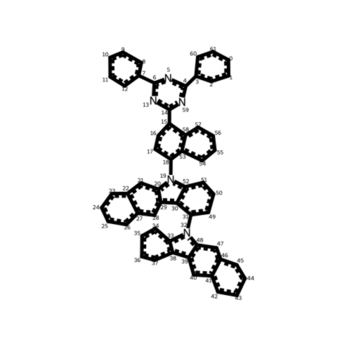 c1ccc(-c2nc(-c3ccccc3)nc(-c3ccc(-n4c5cc6ccccc6cc5c5c(-n6c7ccccc7c7cc8ccccc8cc76)cccc54)c4ccccc34)n2)cc1